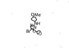 COC1CCC(Nc2ncc(Br)c(OC3CCOC3)n2)CC1